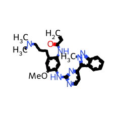 C=CC(=O)Nc1cc(Nc2nccc(-c3c4ccccc4nn3C)n2)c(OC)cc1CCCN(C)C